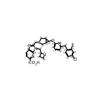 O=C(O)c1ccc2nc(CN3CC4C(C3)C4Oc3cccc(Cc4ccc(Cl)cc4F)n3)n(CC3CCO3)c2n1